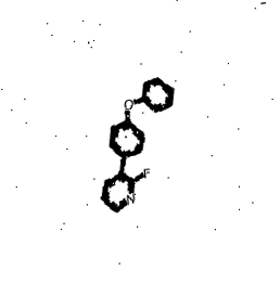 Fc1ncccc1-c1ccc(Oc2ccccc2)cc1